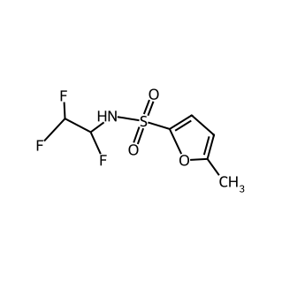 Cc1ccc(S(=O)(=O)NC(F)C(F)F)o1